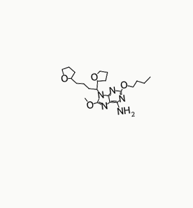 CCCCOc1nc(N)c2nc(OC)n(C(CCCC3CCCO3)C3CCCO3)c2n1